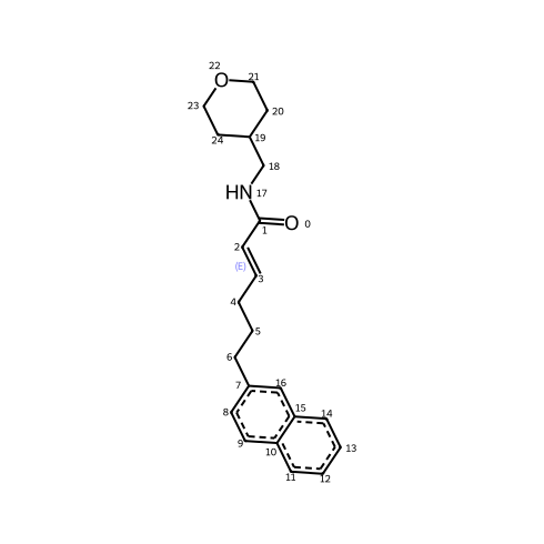 O=C(/C=C/CCCc1ccc2ccccc2c1)NCC1CCOCC1